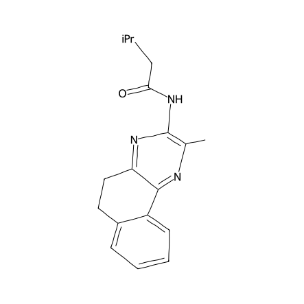 Cc1nc2c(nc1NC(=O)CC(C)C)CCc1ccccc1-2